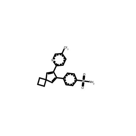 NS(=O)(=O)c1ccc(C2=CC3(C=C2c2ccc(C(F)(F)F)cn2)CCC3)cc1